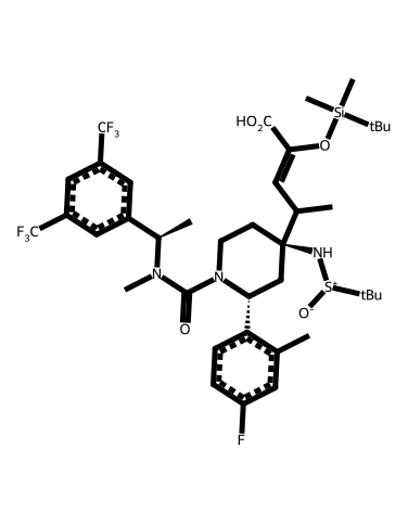 Cc1cc(F)ccc1[C@H]1C[C@@](N[S+]([O-])C(C)(C)C)(C(C)C=C(O[Si](C)(C)C(C)(C)C)C(=O)O)CCN1C(=O)N(C)[C@H](C)c1cc(C(F)(F)F)cc(C(F)(F)F)c1